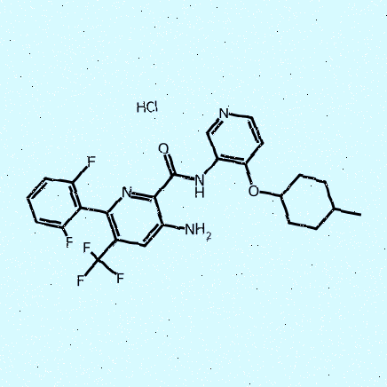 CC1CCC(Oc2ccncc2NC(=O)c2nc(-c3c(F)cccc3F)c(C(F)(F)F)cc2N)CC1.Cl